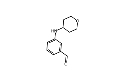 O=Cc1cccc(NC2CCOCC2)c1